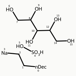 CCCCCCCCCCC[CH2][Na].O=S(=O)(O)O.OCC(O)C(O)C(O)CO